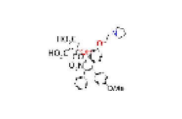 COc1ccc(/C(=C(\c2ccccc2)[N+](=O)[O-])c2ccc(OCCN3CCCC3)cc2)cc1.O=C(O)CC(O)(CC(=O)O)C(=O)O